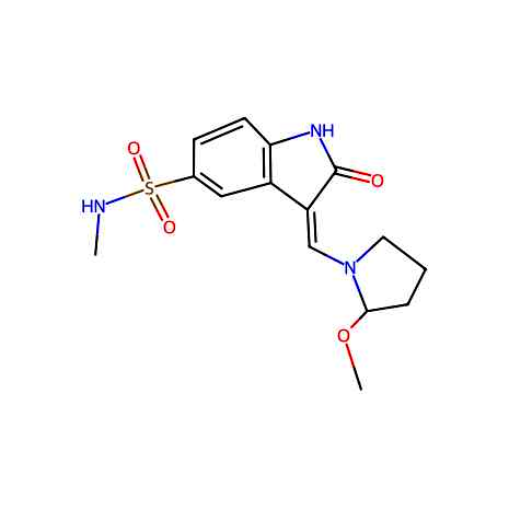 CNS(=O)(=O)c1ccc2c(c1)C(=CN1CCCC1OC)C(=O)N2